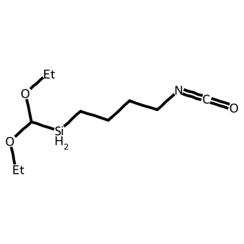 CCOC(OCC)[SiH2]CCCCN=C=O